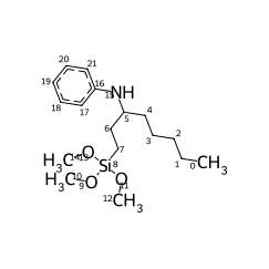 CCCCCC(CC[Si](OC)(OC)OC)Nc1ccccc1